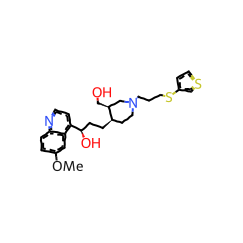 COc1ccc2nccc([C@H](O)CC[C@@H]3CCN(CCCSc4ccsc4)C[C@@H]3CO)c2c1